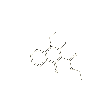 CCOC(=O)c1c(F)n(CC)c2ccccc2c1=O